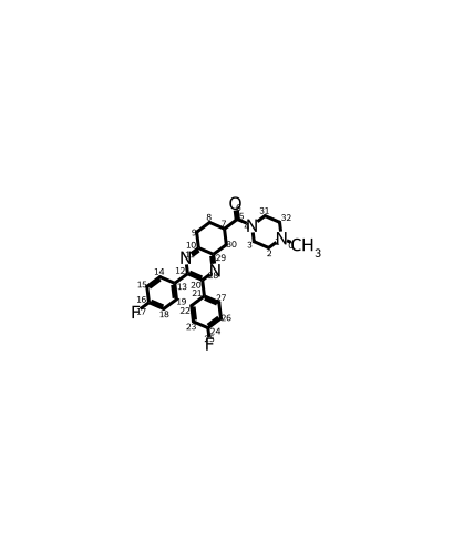 CN1CCN(C(=O)C2CCc3nc(-c4ccc(F)cc4)c(-c4ccc(F)cc4)nc3C2)CC1